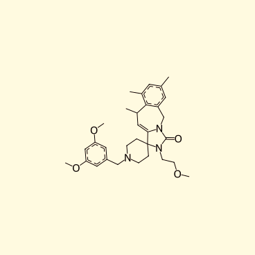 COCCN1C(=O)N2Cc3cc(C)cc(C)c3C(C)C=C2C12CCN(Cc1cc(OC)cc(OC)c1)CC2